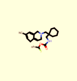 CCCC(F)OC(=O)NCC1(CN2CC=C3CC=C(C#N)C=C3C2)CCCCC1